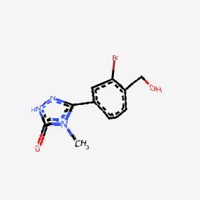 Cn1c(-c2ccc(CO)c(Br)c2)n[nH]c1=O